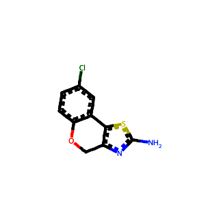 Nc1nc2c(s1)-c1cc(Cl)ccc1OC2